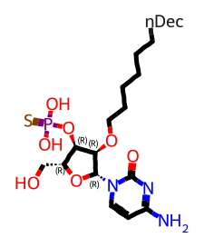 CCCCCCCCCCCCCCCCO[C@@H]1[C@H](OP(O)(O)=S)[C@@H](CO)O[C@H]1n1ccc(N)nc1=O